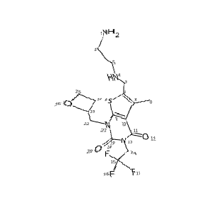 Cc1c(CNCCN)sc2c1c(=O)n(CC(F)(F)F)c(=O)n2CC1CCO1